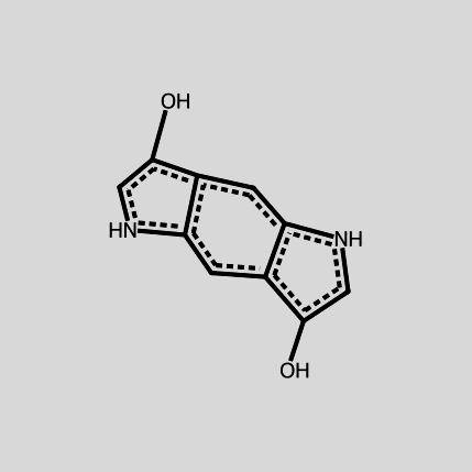 Oc1c[nH]c2cc3c(O)c[nH]c3cc12